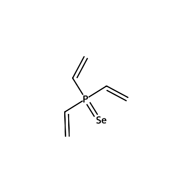 C=CP(=[Se])(C=C)C=C